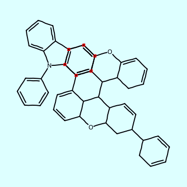 C1=CCC(C2C=CC3C(C2)OC2C=CC=C(C4=CC=CC5c6ccccc6N(c6ccccc6)C45)C2C3C2c3ccccc3OC3=CC=CCC32)C=C1